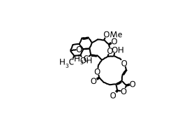 COC1CC2C=CC3CC4OC2(/C(C)=C/C2COC(=O)CCC5=C(/C=C/OCC(O)C2OC1=O)C(=O)OC5=O)C3C(O)C4C